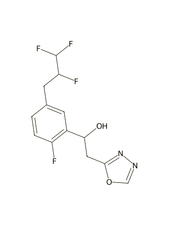 OC(Cc1nnco1)c1cc(CC(F)C(F)F)ccc1F